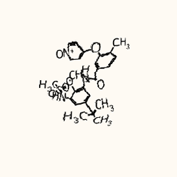 COc1c(NC(=O)c2ccc(C)c(Oc3cc[n+]([O-])cc3)c2)cc(C(C)(C)C)cc1NS(C)(=O)=O